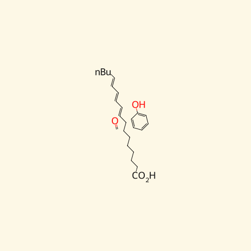 C=O.CCCCC=CC=CC=CCCCCCCCC(=O)O.Oc1ccccc1